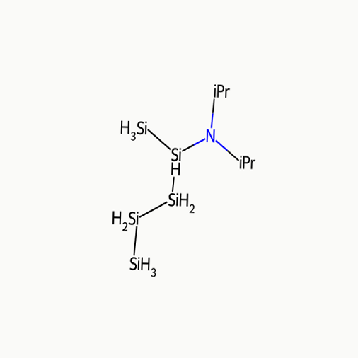 CC(C)N(C(C)C)[SiH]([SiH3])[SiH2][SiH2][SiH3]